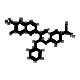 Cc1cc2cc(C(=O)N(Cc3ccc(C(F)F)cn3)Cc3ncccn3)ccc2nc1N